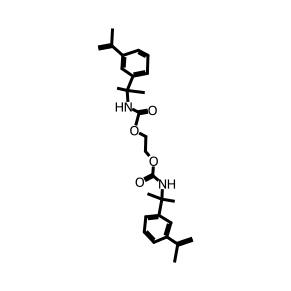 C=C(C)c1cccc(C(C)(C)NC(=O)OCCOC(=O)NC(C)(C)c2cccc(C(=C)C)c2)c1